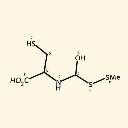 CSSC(O)NC(CS)C(=O)O